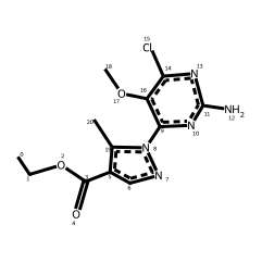 CCOC(=O)c1cnn(-c2nc(N)nc(Cl)c2OC)c1C